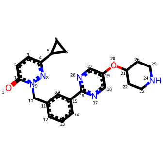 O=c1ccc(C2CC2)nn1Cc1cccc(-c2ncc(OC3CCNCC3)cn2)c1